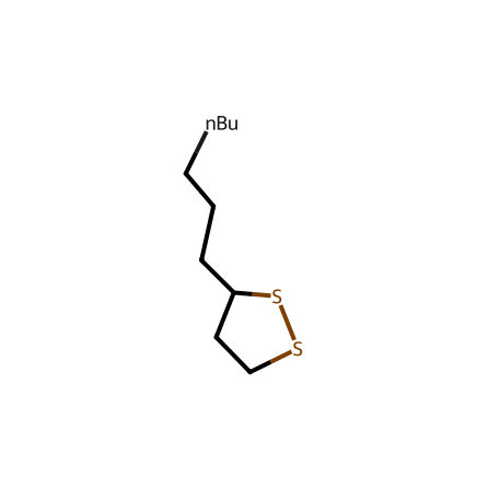 CCCCCCCC1CCSS1